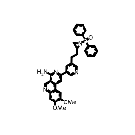 COc1cc2ncc3c(N)nc(-c4cncc(CCC5CN5P(=O)(c5ccccc5)c5ccccc5)c4)cc3c2cc1OC